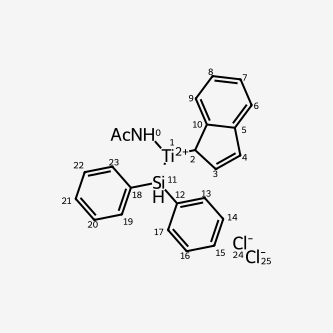 CC(=O)[NH][Ti+2]([CH]1C=Cc2ccccc21)[SiH](c1ccccc1)c1ccccc1.[Cl-].[Cl-]